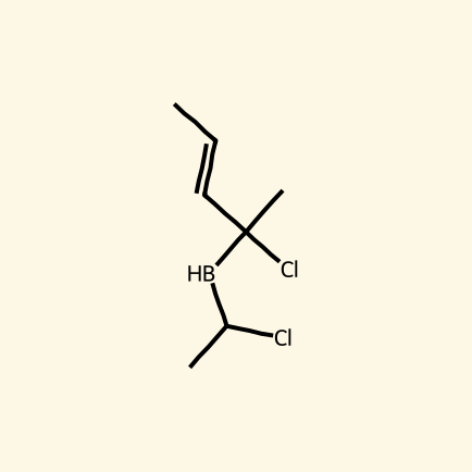 CC=CC(C)(Cl)BC(C)Cl